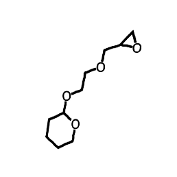 C1CCC(OCCOCC2CO2)OC1